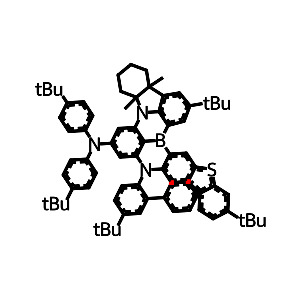 CC(C)(C)c1ccc(N(c2ccc(C(C)(C)C)cc2)c2cc3c4c(c2)N2c5c(cc(C(C)(C)C)cc5C5(C)CCCCC25C)B4c2cc4sc5cc(C(C)(C)C)ccc5c4cc2N3c2ccc(C(C)(C)C)cc2-c2ccccc2)cc1